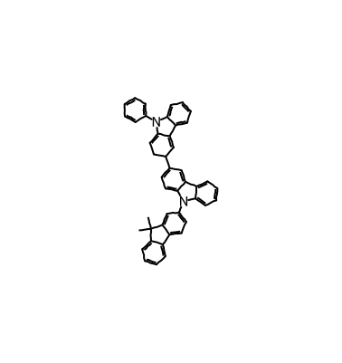 CC1(C)c2ccccc2-c2ccc(-n3c4ccccc4c4cc(C5C=c6c(n(-c7ccccc7)c7ccccc67)=CC5)ccc43)cc21